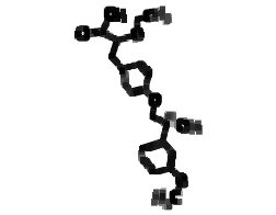 CCOC(Cc1ccc(OC[C@H](O)c2cccc(OC)c2)cc1)C(=O)O